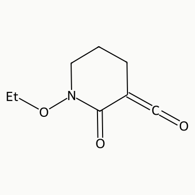 CCON1CCCC(=C=O)C1=O